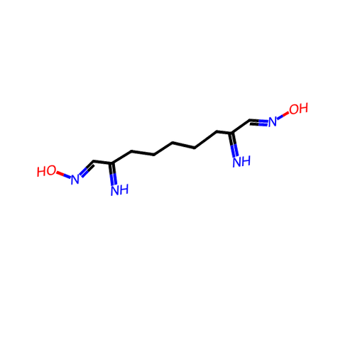 N=C(C=NO)CCCCCC(=N)C=NO